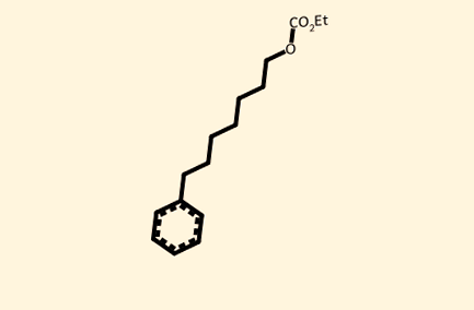 CCOC(=O)OCCCCCCCc1ccccc1